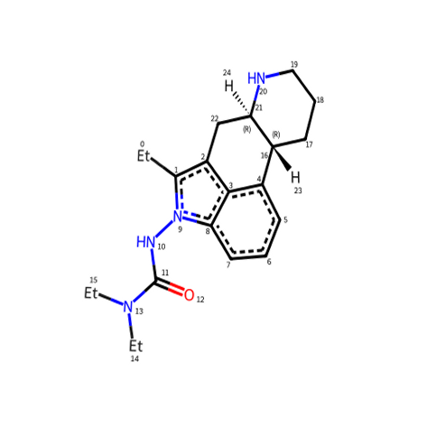 CCc1c2c3c(cccc3n1NC(=O)N(CC)CC)[C@H]1CCCN[C@@H]1C2